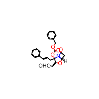 O=CC=C1O[C@@H]2CC(=O)N2C1(CC=Cc1ccccc1)OC(=O)OCc1ccccc1